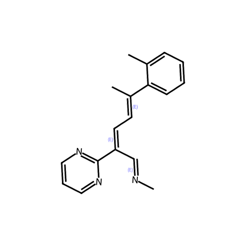 C/N=C/C(=C\C=C(/C)c1ccccc1C)c1ncccn1